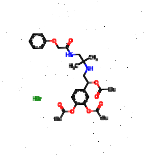 Br.CC(C)(CNC(=O)COc1ccccc1)NCC(OC(=O)C(C)(C)C)c1ccc(OC(=O)C(C)(C)C)c(OC(=O)C(C)(C)C)c1